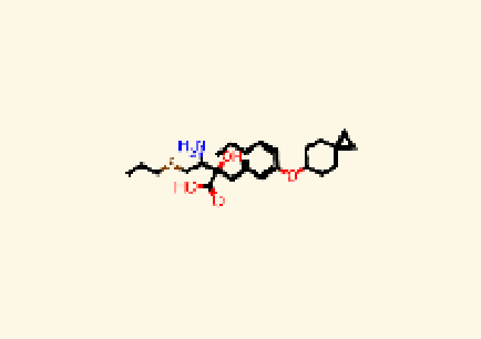 C=C(/C=C(\C=C/CCC)OC1CCC2(CC1)CC2)CC(O)(C(=O)O)C(N)CSCCC